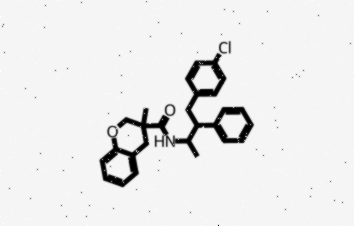 CC(NC(=O)C1(C)COc2ccccc2C1)C(Cc1ccc(Cl)cc1)c1ccccc1